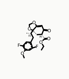 CCOC(=O)[C@@H]1C[C@]2([C@@H](C)Cc3cc(F)c(OC)cc3F)OCOC2=CC1=O